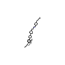 CCCCCC1CCC(/C=C/CCC2CCC(C3CCC(c4ccc(OCCCC)c(F)c4F)CC3)CC2)CC1